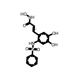 O=C(/C=C/c1cc(O)c(O)cc1NS(=O)(=O)c1ccccc1)NO